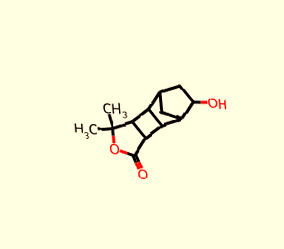 CC1(C)OC(=O)C2C3C4CC(CC4O)C3C21